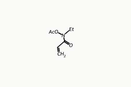 C=CC(=O)N(CC)OC(C)=O